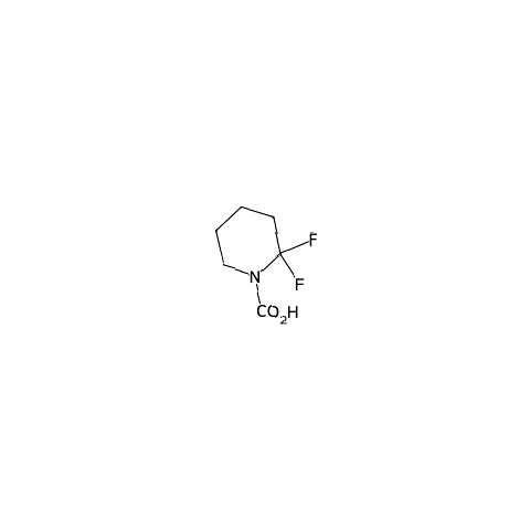 O=C(O)N1CCCCC1(F)F